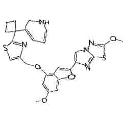 COc1cc(OCc2csc(C3(C4=CC=CNC4)CCC3)n2)c2cc(-c3cn4nc(OC)sc4n3)oc2c1